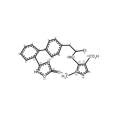 CCC(Cc1ccc(-c2ccccc2-c2nc(=O)o[nH]2)cc1)Nc1c(C(=O)O)cnn1C